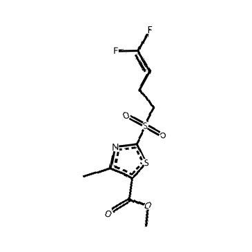 COC(=O)c1sc(S(=O)(=O)CCC=C(F)F)nc1C